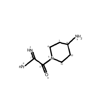 CCCC(=N)C(=O)N1CC[C](N)CC1